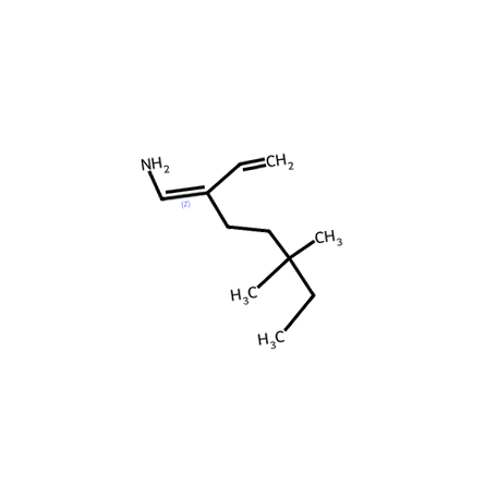 C=C/C(=C\N)CCC(C)(C)CC